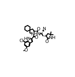 COc1cc(Cl)c2[nH]c(C(=O)N3CC4(CCCCC4)C[C@H]3C(=O)N[C@H](C#N)C[C@@H]3CC(C)(C)NC3=O)cc2c1